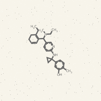 CCC1=C(C(c2ccc(NC3(c4ccc(C)c(O)c4)CC3)nc2)N(C)CC)C=CCC1